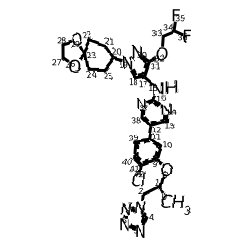 C[C@@H](Cn1cnnn1)Oc1cc(-c2cnc(Nc3cn(C4CCC5(CC4)OCCO5)nc3OCC(F)F)nc2)ccc1Cl